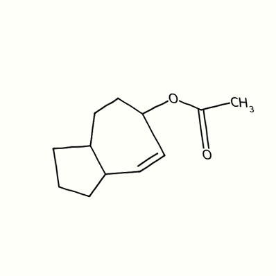 CC(=O)OC1C=CC2CCCC2CC1